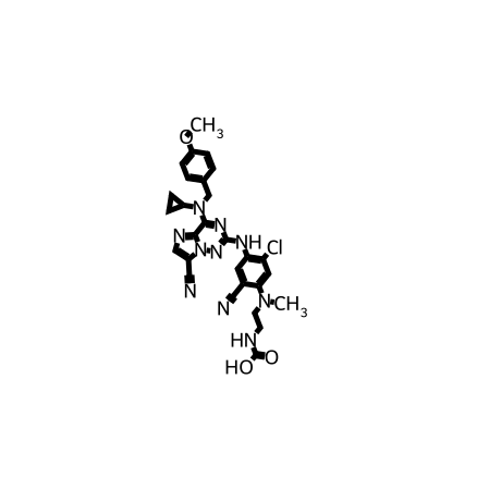 COc1ccc(CN(c2nc(Nc3cc(C#N)c(N(C)CCNC(=O)O)cc3Cl)nn3c(C#N)cnc23)C2CC2)cc1